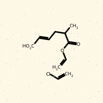 C=CCl.C=COC(=O)C(C)CC=CC(=O)O